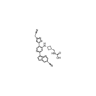 N#CCn1cc(-c2cnc(-c3ccc4cc(C#N)cnn34)cc2N[C@H]2C[C@H](CNC(=O)O)C2)nn1